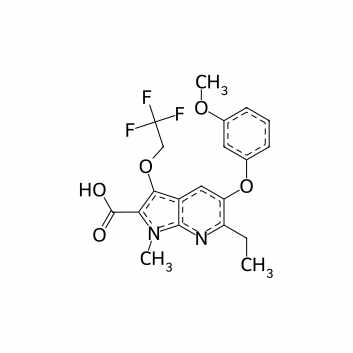 CCc1nc2c(cc1Oc1cccc(OC)c1)c(OCC(F)(F)F)c(C(=O)O)n2C